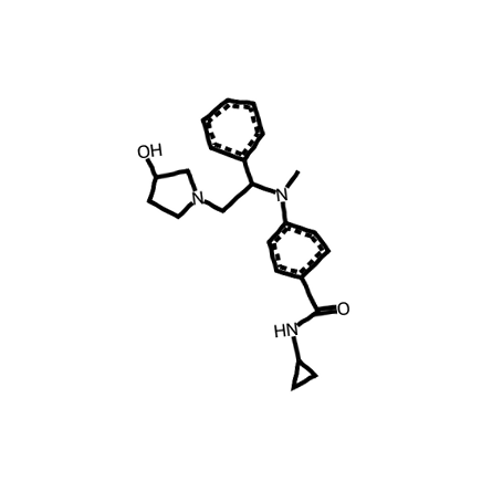 CN(c1ccc(C(=O)NC2CC2)cc1)C(CN1CCC(O)C1)c1ccccc1